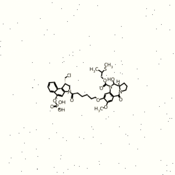 COc1cc2c(cc1OCCCCCC(=O)N1C[C@@H](CCl)c3c1cc(OP(=O)(O)O)c1ccccc31)N(C(=O)OCC(C)SC)C(O)[C@@H]1CCCN1C2=O